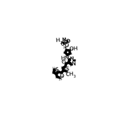 Cc1sc(C(=O)c2cncnc2N[C@@H]2C[C@H](COS(N)(=O)=O)[C@@H](O)C2)cc1C1OCCc2ccsc21